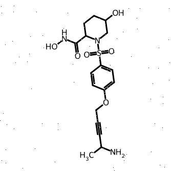 CC(N)C#CCOc1ccc(S(=O)(=O)N2CC(O)CCC2C(=O)NO)cc1